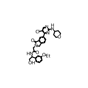 CCOc1cccc(C(CO)NC(=O)CN2Cc3ccc(-c4nc(NC5CCOCC5)ncc4Cl)cc3C2=O)c1